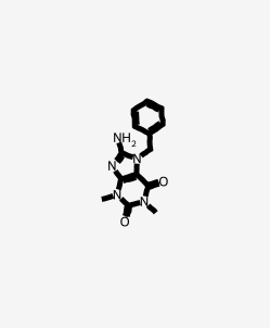 Cn1c(=O)c2c(nc(N)n2Cc2ccccc2)n(C)c1=O